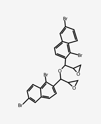 Brc1ccc2c(Br)c(C(OC(c3ccc4cc(Br)ccc4c3Br)C3CO3)C3CO3)ccc2c1